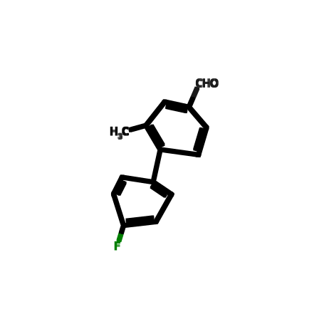 Cc1cc(C=O)ccc1-c1ccc(F)cc1